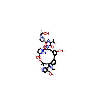 CCn1c(-c2cnccc2COC)c2c3cc(ccc31)-c1cc(O)cc(c1)C[C@H](NC(=O)[C@H](C(C)C)N(C)C(=O)[C@H]1CCN(C[C@H](C)O)C1)C(=O)N1CCC[C@](C=O)(COCC(C)(C)C2)N1